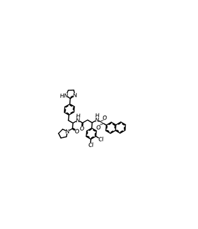 O=C(CC(NS(=O)(=O)c1ccc2ccccc2c1)c1ccc(Cl)c(Cl)c1)NC(Cc1ccc(C2=NCCN2)cc1)C(=O)N1CCCC1